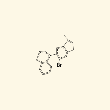 CC1=CCc2cc(Br)c(-c3cccc4ccccc34)cc21